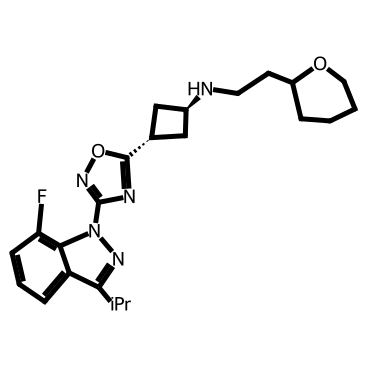 CC(C)c1nn(-c2noc([C@H]3C[C@H](NCCC4CCCCO4)C3)n2)c2c(F)cccc12